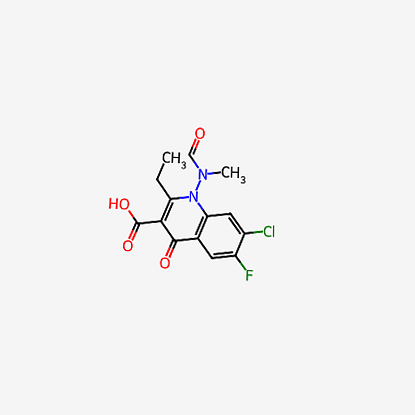 CCc1c(C(=O)O)c(=O)c2cc(F)c(Cl)cc2n1N(C)C=O